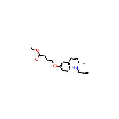 C#C/C=N/c1ccc(OCCCC(=O)OCC)cc1/C=C\CC